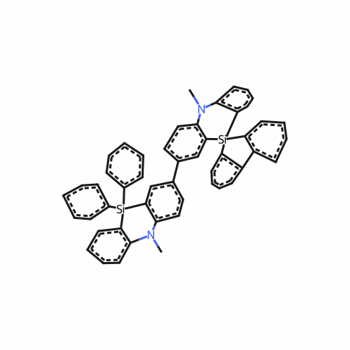 CN1c2ccccc2[Si](c2ccccc2)(c2ccccc2)c2cc(-c3ccc4c(c3)[Si]3(c5ccccc5-c5ccccc53)c3ccccc3N4C)ccc21